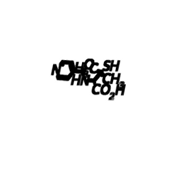 CC(C)(S)[C@@H](NC(=O)c1ccncc1)C(=O)O